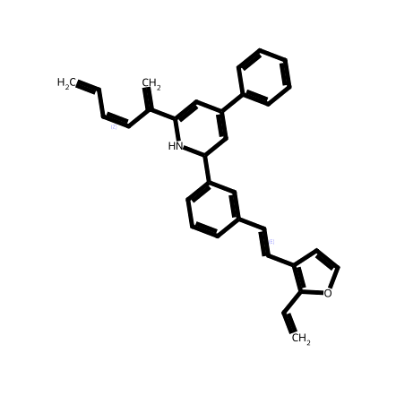 C=C/C=C\C(=C)C1=CC(c2ccccc2)=CC(c2cccc(/C=C/c3ccoc3C=C)c2)N1